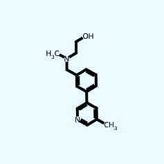 Cc1cncc(-c2cccc(CN(C)CCO)c2)c1